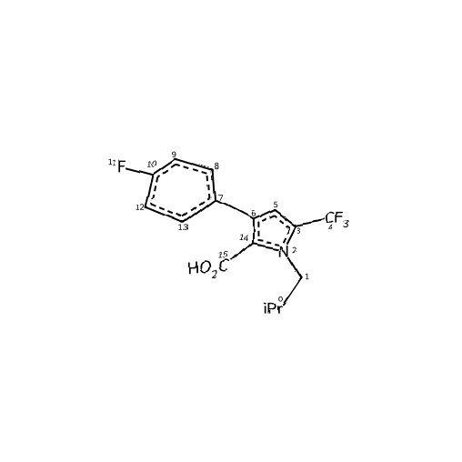 CC(C)Cn1c(C(F)(F)F)cc(-c2ccc(F)cc2)c1C(=O)O